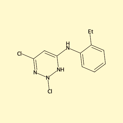 CCc1ccccc1NC1=CC(Cl)=NN(Cl)N1